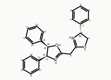 c1ccc([C@@H]2COC(CC3=N[C@@H](c4ccccc4)[C@@H](c4ccccc4)O3)=N2)cc1